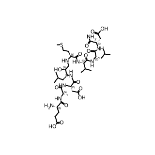 CSCC[C@H](NC[C@H](O)[C@H](CC(C)C)NC(=O)[C@H](CC(=O)O)NC(=O)[C@H](C)NC(=O)[C@@H](N)CCC(=O)O)C(=O)N[C@H](C(=O)N[C@@H](CC(C)C)C(=O)N[C@@H](CC(=O)O)C(N)=O)C(C)C